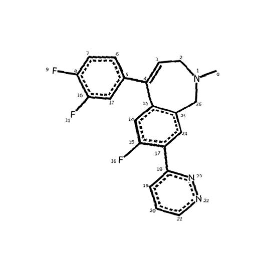 CN1CC=C(c2ccc(F)c(F)c2)c2cc(F)c(-c3cccnn3)cc2C1